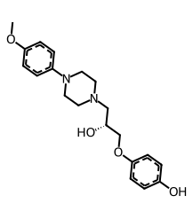 COc1ccc(N2CCN(C[C@@H](O)COc3ccc(O)cc3)CC2)cc1